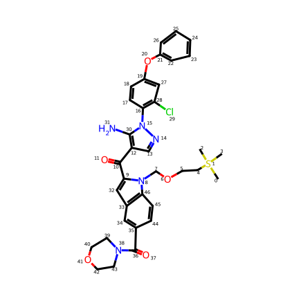 CS(C)(C)CCOCn1c(C(=O)c2cnn(-c3ccc(Oc4ccccc4)cc3Cl)c2N)cc2cc(C(=O)N3CCOCC3)ccc21